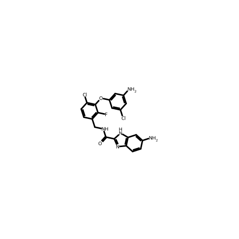 Nc1cc(Cl)cc(Oc2c(Cl)ccc(CNC(=O)c3nc4ccc(N)cc4[nH]3)c2F)c1